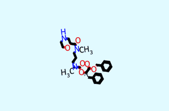 CN(CCCN(C)C(=O)C1CNCCO1)C(=O)O[C@@H](Cc1ccccc1)C(=O)OCc1ccccc1